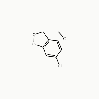 CCl.Clc1ccc2c(c1)OOC2